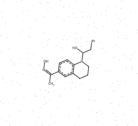 C/C(=N/O)c1ccc2c(c1)CCCN2C(O)CC(C)C